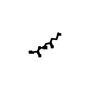 CC(=O)CCC(=O)CNOC(=O)C(C)(C)C